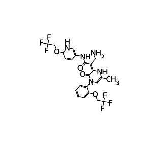 CC1=CN(c2ccccc2OCC(F)(F)F)C(=O)/C(=C(/CN)C(=O)NC2=CNC(OCC(F)(F)F)C=C2)N1